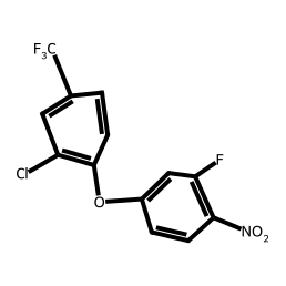 O=[N+]([O-])c1ccc(Oc2ccc(C(F)(F)F)cc2Cl)cc1F